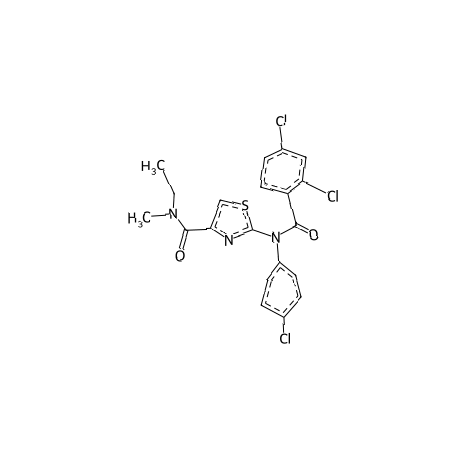 CCN(C)C(=O)c1csc(N(C(=O)c2ccc(Cl)cc2Cl)c2ccc(Cl)cc2)n1